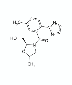 Cc1ccc(-n2nccn2)c(C(=O)N2C[C@H](C)O[C@H]2CO)c1